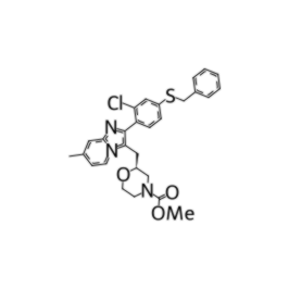 COC(=O)N1CCO[C@@H](Cc2c(-c3ccc(SCc4ccccc4)cc3Cl)nc3cc(C)ccn23)C1